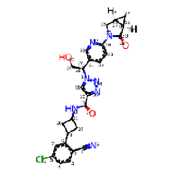 N#Cc1ccc(Cl)cc1C1CC(NC(=O)c2cn([C@@H](CO)c3ccc(N4C[C@H]5C[C@H]5C4=O)nc3)nn2)C1